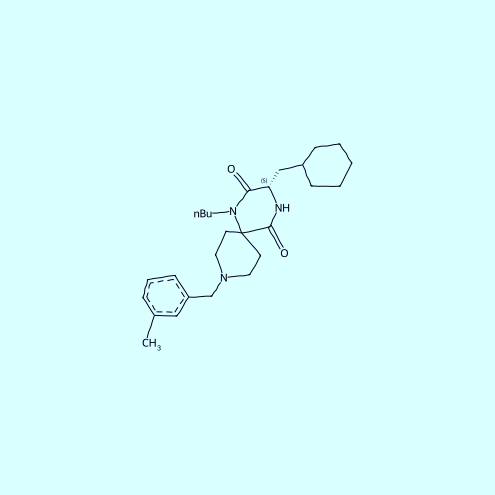 CCCCN1C(=O)[C@H](CC2CCCCC2)NC(=O)C12CCN(Cc1cccc(C)c1)CC2